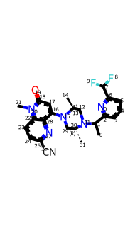 CC(c1cccc(C(F)F)n1)N1C[C@H](C)N(c2cc(=O)n(C)c3ccc(C#N)nc23)C[C@H]1C